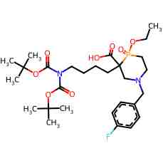 CCOP1(=O)CCN(Cc2ccc(F)cc2)CC1(CCCCN(C(=O)OC(C)(C)C)C(=O)OC(C)(C)C)C(=O)O